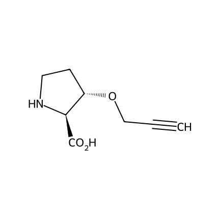 C#CCO[C@H]1CCN[C@@H]1C(=O)O